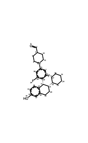 O=CC1CCN(c2cc(F)c([C@H]3c4ccc(O)cc4CC[C@H]3C3CCCCC3)c(F)c2)CC1